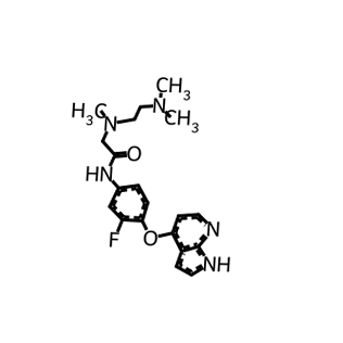 CN(C)CCN(C)CC(=O)Nc1ccc(Oc2ccnc3[nH]ccc23)c(F)c1